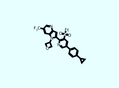 CCS(=O)(=O)c1cc(-c2ccc(C3CC3)cc2)cnc1-c1cc2ncc(C(F)(F)F)cc2n1C1COC1